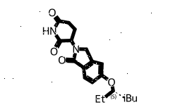 CCC(C)[C@H](CC)Oc1ccc2c(c1)CN(C1CCC(=O)NC1=O)C2=O